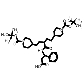 CC(C)(C)OC(=O)N1CCC(CCC(CCC2CCN(C(=O)OC(C)(C)C)CC2)C(=O)NC(CC(=O)O)c2ccccc2)CC1